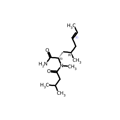 C/C=C/C[C@@H](C)C[C@@H](C(N)=O)N(C)C(=O)CC(C)C